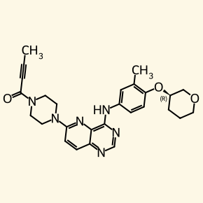 CC#CC(=O)N1CCN(c2ccc3ncnc(Nc4ccc(O[C@@H]5CCCOC5)c(C)c4)c3n2)CC1